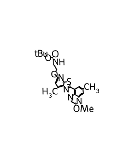 COc1cnc2c(-c3nc4c(C)cc(OCCNC(=O)OC(C)(C)C)nc4s3)cc(C)cc2n1